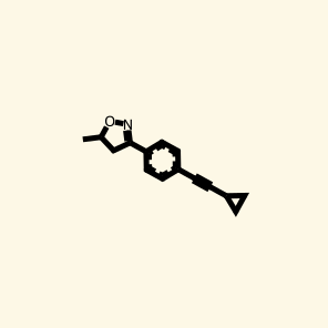 CC1CC(c2ccc(C#CC3CC3)cc2)=NO1